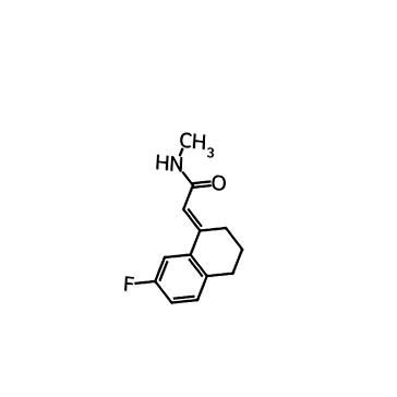 CNC(=O)/C=C1\CCCc2ccc(F)cc21